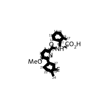 COc1ccc(C(=O)N[C@@H](CC(=O)O)c2ccccc2C)nc1-c1ccc(C)c(F)c1